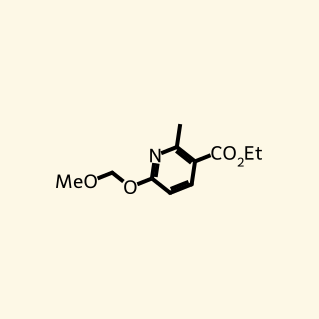 CCOC(=O)c1ccc(OCOC)nc1C